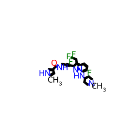 Cc1cc(C(=O)NCC#Cc2nn3c(N[C@@H]4CCN(C)C[C@@H]4F)cccc3c2CC(F)(F)F)c[nH]1